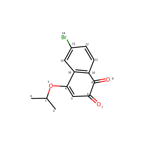 CC(C)OC1=CC(=O)C(=O)c2ccc(Br)cc21